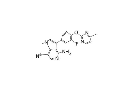 Cc1ccnc(Oc2ccc(-c3cn(C)c4c(C#N)cnc(N)c34)cc2F)n1